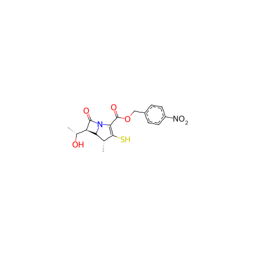 C[C@H]1C(S)=C(C(=O)OCc2ccc([N+](=O)[O-])cc2)N2C(=O)[C@H]([C@@H](C)O)C12